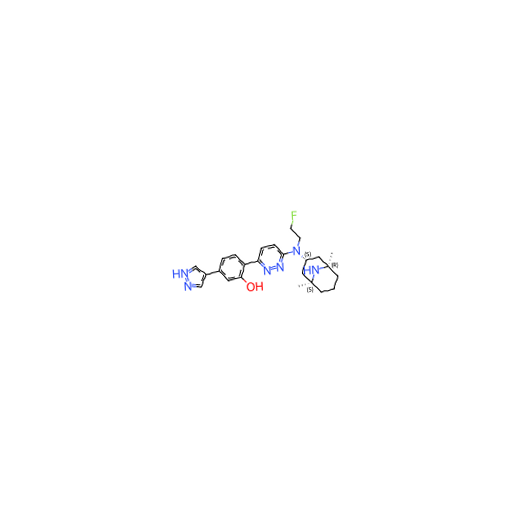 C[C@]12CCC[C@](C)(C[C@@H](N(CCF)c3ccc(-c4ccc(-c5cn[nH]c5)cc4O)nn3)C1)N2